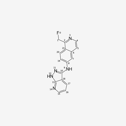 FCc1nccc2cc(Nc3n[nH]c4ncccc34)ccc12